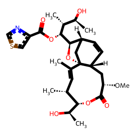 CO[C@H]1C[C@H]2C=C[C@@H]3C[C@]2(O[C@H]3[C@H](OC(=O)c2cscn2)[C@H](C)[C@H](C)O)/C(C)=C/[C@@H](C)[C@@H]([C@@H](C)O)OC1=O